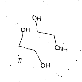 OCCO.OCCO.[Ti]